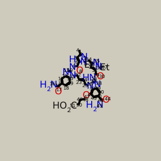 CCn1nc(C)cc1C(=O)Nc1nc2cc(C(N)=O)ccc2n1CC=CCn1c(NC(=O)c2cc(C)nn2CC)nc2cc(C(N)=O)cc(OCCCC(=O)O)c21